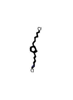 Cl/C=C/CCCCc1ccc(CCCCCCCl)cc1